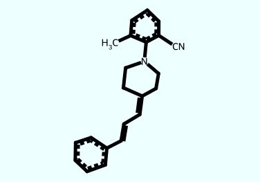 Cc1cccc(C#N)c1N1CCC(=C/C=C/c2ccccc2)CC1